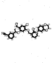 CC(Oc1cc(OCc2cccn(-c3ccc4c(c3)OCCO4)c2=O)c(Cl)cc1C=O)c1cccc(C#N)c1